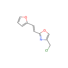 ClCc1coc(C=Cc2ccco2)n1